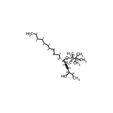 CCCCCCCCCCC[C@@H](C#CC(O)CC)O[Si](C)(C)C(C)(C)C